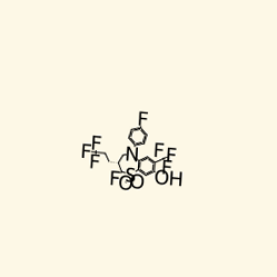 O=S1(=O)c2cc(O)c(C(F)(F)F)cc2N(c2ccc(F)cc2)C[C@@H](CCC(F)(F)F)[C@@H]1F